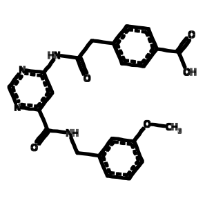 COc1cccc(CNC(=O)c2cc(NC(=O)Cc3ccc(C(=O)O)cc3)ncn2)c1